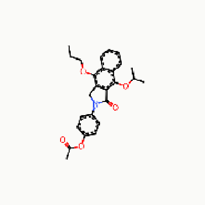 CCCOc1c2c(c(OC(C)C)c3ccccc13)C(=O)N(c1ccc(OC(C)=O)cc1)C2